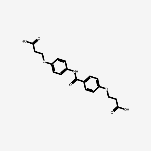 O=C(O)CCOc1ccc(NC(=O)c2ccc(OCCC(=O)O)cc2)cc1